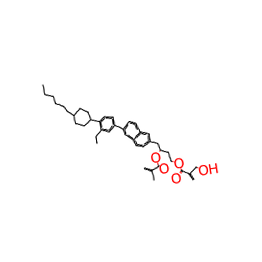 C=C(C)C(=O)OC(CCOC(=O)C(=C)CO)Cc1ccc2cc(-c3ccc(C4CCC(CCCCCC)CC4)c(CC)c3)ccc2c1